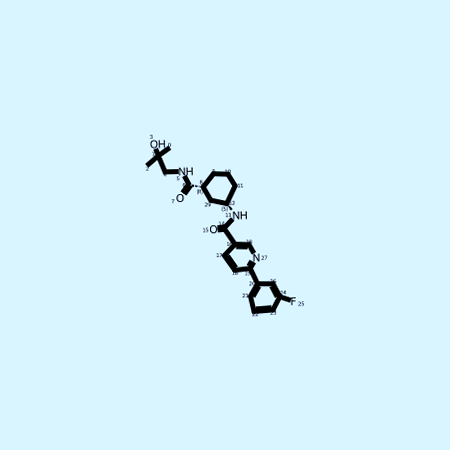 CC(C)(O)CNC(=O)[C@@H]1CCC[C@H](NC(=O)c2ccc(-c3cccc(F)c3)nc2)C1